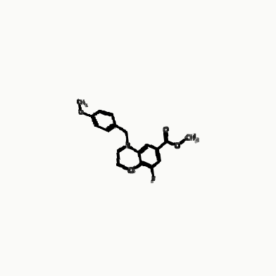 COC(=O)c1cc(F)c2c(c1)N(Cc1ccc(OC)cc1)CCO2